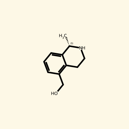 C[C@@H]1NCCc2c(CO)cccc21